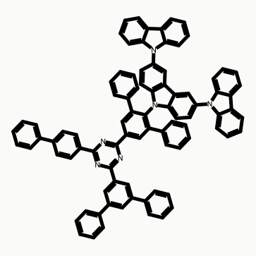 c1ccc(-c2ccc(-c3nc(-c4cc(-c5ccccc5)cc(-c5ccccc5)c4)nc(-c4cc(-c5ccccc5)c(-n5c6ccc(-n7c8ccccc8c8ccccc87)cc6c6cc(-n7c8ccccc8c8ccccc87)ccc65)c(-c5ccccc5)c4)n3)cc2)cc1